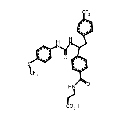 O=C(O)CCNC(=O)c1ccc(C(Cc2ccc(C(F)(F)F)cc2)NC(=O)Nc2ccc(SC(F)(F)F)cc2)cc1